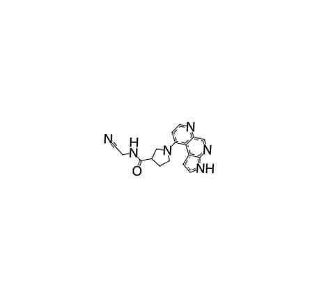 N#CCNC(=O)C1CCN(c2ccnc3cnc4[nH]ccc4c23)C1